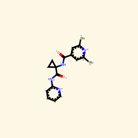 CC(C)(C)c1cc(C(=O)NC2(C(=O)Nc3ccccn3)CC2)cc(C(C)(C)C)n1